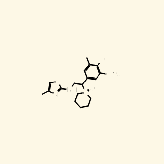 COc1cc(C(CNc2nc(C)c[nH]2)P2(=O)CCCCC2)cc(C)c1O